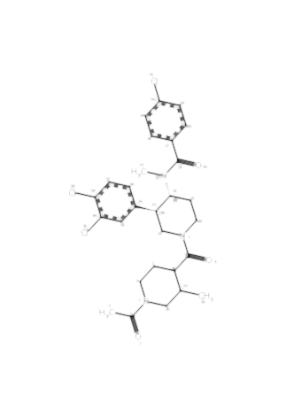 CC(=O)N1CCC(C(=O)N2CC[C@@H](N(C)C(=O)c3ccc(Cl)cc3)[C@H](c3ccc(Cl)c(Cl)c3)C2)C(C)C1